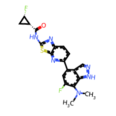 CN(C)c1c(F)cc(-c2ccc3nc(NC(=O)[C@@H]4C[C@@H]4F)sc3n2)c2cn[nH]c12